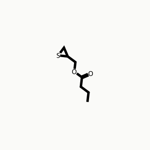 CCCC(=O)OCC1CS1